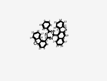 c1ccc(-c2nc(-c3cccc4oc5ccccc5c34)nc(-c3c4ccccc4cc4sc5ccccc5c34)n2)cc1